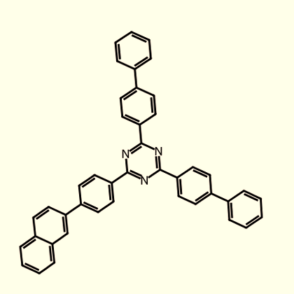 c1ccc(-c2ccc(-c3nc(-c4ccc(-c5ccccc5)cc4)nc(-c4ccc(-c5ccc6ccccc6c5)cc4)n3)cc2)cc1